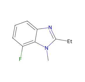 CCc1nc2cccc(F)c2n1C